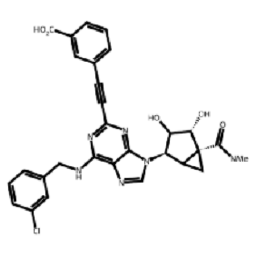 CNC(=O)[C@]12CC1[C@@H](n1cnc3c(NCc4cccc(Cl)c4)nc(C#Cc4cccc(C(=O)O)c4)nc31)C(O)[C@@H]2O